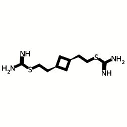 N=C(N)SCC[C@H]1C[C@@H](CCSC(=N)N)C1